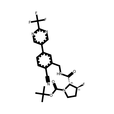 CC(C)(C)OC(=O)N1CC[C@H](F)[C@H]1C(=O)NCc1cc(-c2cnc(C(F)(F)F)nc2)ccc1C#N